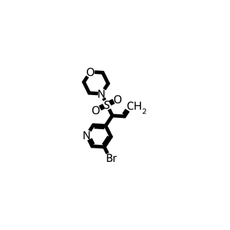 C=CC(c1cncc(Br)c1)S(=O)(=O)N1CCOCC1